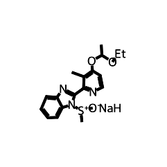 CCOC(C)Oc1ccnc(-c2nc3ccccc3n2[S+](C)[O-])c1C.[NaH]